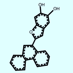 Oc1cc2cc(-c3cc4ccccc4c4ccccc34)oc2cc1O